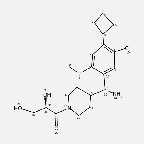 COc1cc(C2CCC2)c(Cl)cc1[C@H](N)C1CCN(C(=O)[C@H](O)CO)CC1